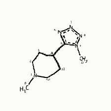 CN1CCC(c2nnnn2C)CC1